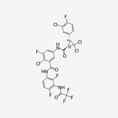 O=C(Nc1ccc(F)c(NC(=O)C(F)(F)F)c1F)c1cc(NC(=O)[C@H]2[C@H](c3ccc(F)c(Cl)c3)C2(Cl)Cl)cc(F)c1Cl